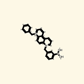 OB(O)c1cccc(C[n+]2cccc3c4ccc[n+](Cc5ccccc5)c4ccc32)c1